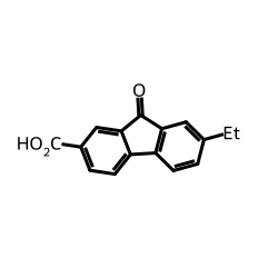 CCc1ccc2c(c1)C(=O)c1cc(C(=O)O)ccc1-2